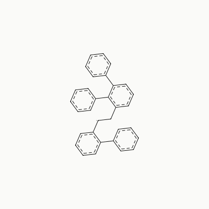 [CH](Cc1cccc(-c2ccccc2)c1-c1ccccc1)c1ccccc1-c1ccccc1